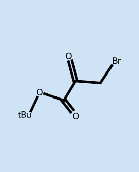 CC(C)(C)OC(=O)C(=O)CBr